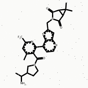 Cc1cc(C(F)(F)F)nc(-c2ccnc3cc(CN4C(=O)C5C(C4=O)C5(C)C)sc23)c1C(=O)N1CCC(C(C)N)C1